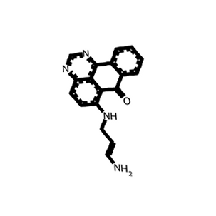 NC=CCNc1ccc2ncnc3c2c1C(=O)c1ccccc1-3